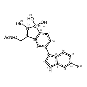 CC(=O)NCC1c2cc(-c3c[nH]c4cc(F)ccc34)ccc2S(O)(O)N1C(C)(C)C